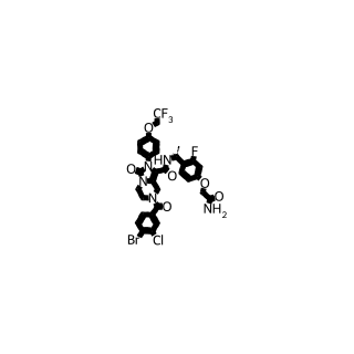 C[C@@H](NC(=O)c1c2n(c(=O)n1-c1ccc(OCC(F)(F)F)cc1)CCN(C(=O)c1ccc(Br)c(Cl)c1)C2)c1ccc(OCC(N)=O)cc1F